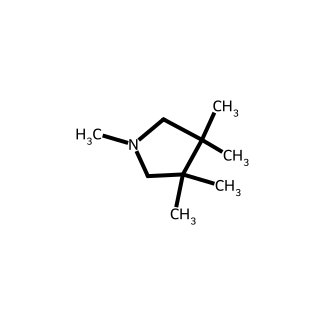 CN1CC(C)(C)C(C)(C)C1